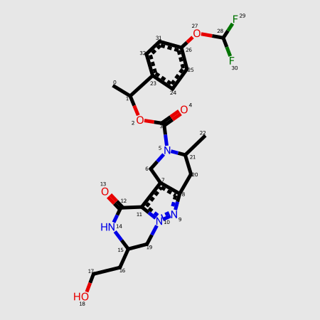 CC(OC(=O)N1Cc2c(nn3c2C(=O)NC(CCO)C3)CC1C)c1ccc(OC(F)F)cc1